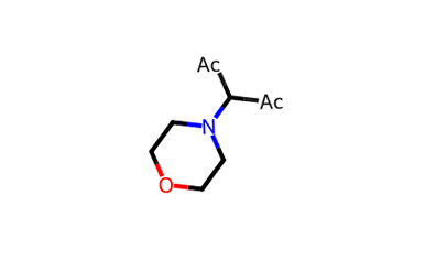 CC(=O)C(C(C)=O)N1CCOCC1